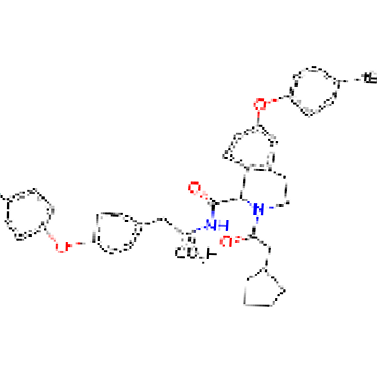 CC(C)(C)c1ccc(Oc2ccc3c(c2)CCN(C(=O)CC2CCCC2)C3C(=O)N[C@@H](Cc2ccc(Oc3ccc(F)cc3)cc2)C(=O)O)cc1